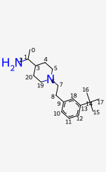 CC(N)C1CCN(CCc2cccc(C(C)(C)C)c2)CC1